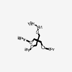 CCCNOCC(COC(C)C)(COC(C)C)COC(C)C